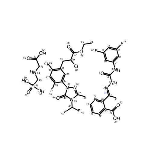 C/C(=N\NC(=O)Nc1cc(F)cc(F)c1)c1ncccc1C(=O)O.CCOC(=O)C(Cl)Cc1cc(-n2nc(C)n(C(F)F)c2=O)c(F)cc1Cl.O=C(O)CNCP(=O)(O)O